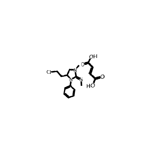 C/N=C1/N(C)CC(CCCl)N1c1ccccc1.O=C(O)/C=C/C(=O)O